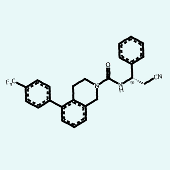 N#CC[C@H](NC(=O)N1CCc2c(cccc2-c2ccc(C(F)(F)F)cc2)C1)c1ccccc1